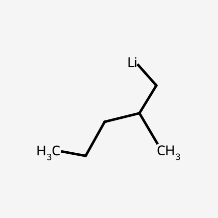 [Li][CH2]C(C)CCC